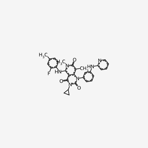 Cc1ccc(Nc2c3c(=O)n(C4CC4)c(=O)n(-c4cccc(Nc5ccccn5)c4)c3c(C)c(=O)n2C)c(F)c1